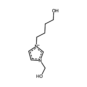 OCCCC[n+]1ccn(CO)c1